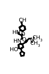 C#Cc1ccc2c(c1)NCC(C(=O)Nc1cc(O)c(C3CCCC3)cc1C#CCN(C)C)O2